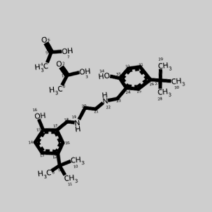 CC(=O)O.CC(=O)O.CC(C)(C)c1ccc(O)c(CNCCNCc2cc(C(C)(C)C)ccc2O)c1